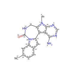 CC(C)n1c2c(c3c(N)ncnc31)-c1cc3ccc(C#N)cc3n1C(=O)NC2